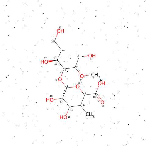 COC(CO)C(OC1OC(C(=O)O)C(C)C(O)C1O)[C@@H](O)CCO